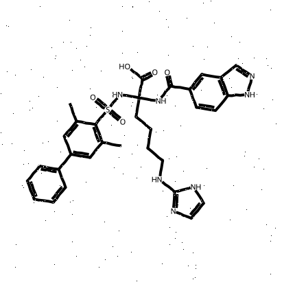 Cc1cc(-c2ccccc2)cc(C)c1S(=O)(=O)NC(CCCCNc1ncc[nH]1)(NC(=O)c1ccc2[nH]ncc2c1)C(=O)O